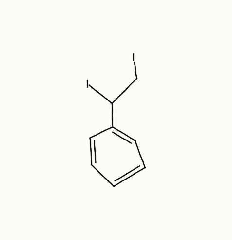 ICC(I)c1ccccc1